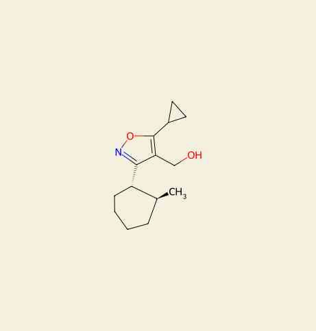 C[C@H]1CCCC[C@@H]1c1noc(C2CC2)c1CO